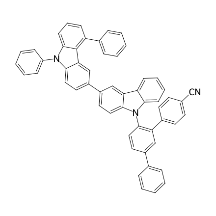 N#Cc1ccc(-c2cc(-c3ccccc3)ccc2-n2c3ccccc3c3cc(-c4ccc5c(c4)c4c(-c6ccccc6)cccc4n5-c4ccccc4)ccc32)cc1